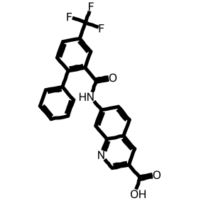 O=C(O)c1cnc2cc(NC(=O)c3cc(C(F)(F)F)ccc3-c3ccccc3)ccc2c1